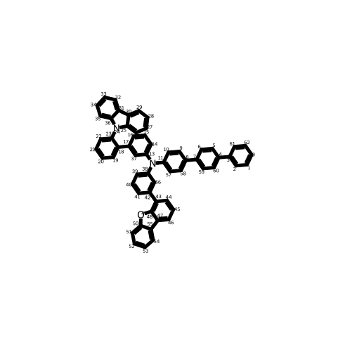 c1ccc(-c2ccc(-c3ccc(N(c4cccc(-c5ccccc5-n5c6ccccc6c6ccccc65)c4)c4cccc(-c5cccc6c5oc5ccccc56)c4)cc3)cc2)cc1